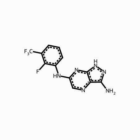 Nc1n[nH]c2nc(Nc3cccc(C(F)(F)F)c3F)cnc12